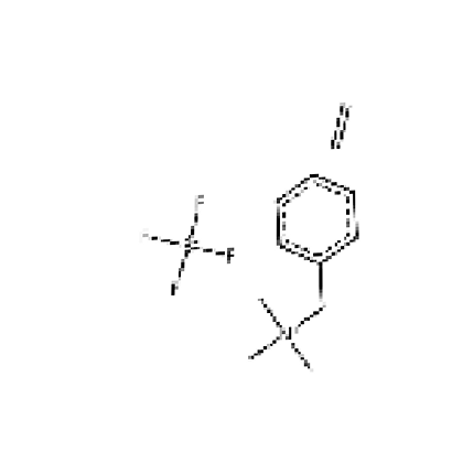 C=C.C[N+](C)(C)Cc1ccccc1.F[B-](F)(F)F